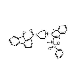 CN(c1nc2ccccc2nc1N1CCN(C(=O)c2cccc3c2C(=O)c2ccccc2-3)CC1)S(=O)(=O)c1ccccc1